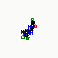 CC(C)(CNC(=O)c1ccc(Cl)cc1)CNC(=NC#N)Nc1cnc(Cl)c(Br)c1